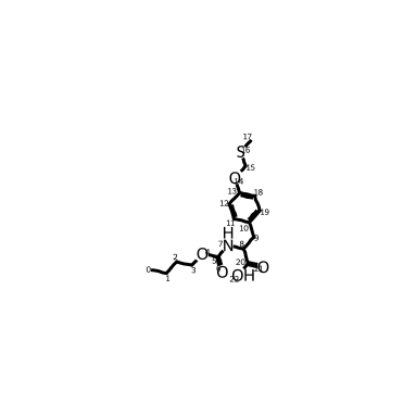 CCCCOC(=O)NC(Cc1ccc(OCSC)cc1)C(=O)O